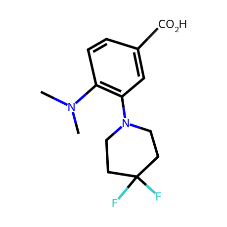 CN(C)c1ccc(C(=O)O)cc1N1CCC(F)(F)CC1